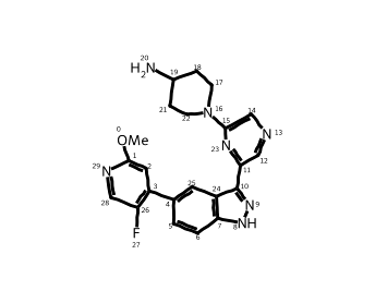 COc1cc(-c2ccc3[nH]nc(-c4cncc(N5CCC(N)CC5)n4)c3c2)c(F)cn1